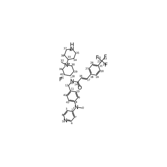 CN(c1ccncc1)c1ccc(CN(C(=O)/C=C/c2ccc(C(F)(F)F)cc2)[C@H]2CC[N+](C)(C3CCNCC3)C[C@H]2F)cc1